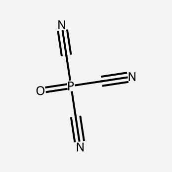 N#CP(=O)(C#N)C#N